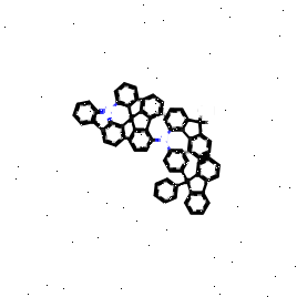 CC1(C)c2ccccc2-c2c(N(c3ccc(C4(c5ccccc5)c5ccccc5-c5ccccc54)cc3)c3cccc4c3-c3ccccc3C43c4ccccc4-n4c5ccccc5c5cccc3c54)cccc21